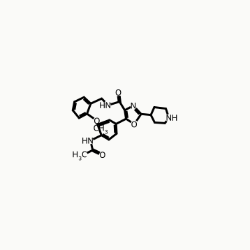 COc1ccccc1CNC(=O)c1nc(C2CCNCC2)oc1-c1ccc(NC(C)=O)cc1